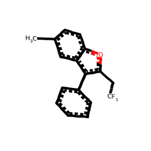 Cc1ccc2oc(CC(F)(F)F)c(-c3ccccc3)c2c1